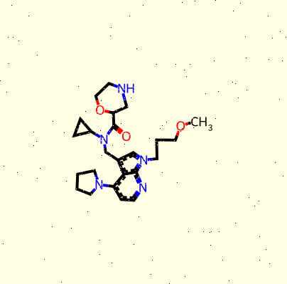 COCCCn1cc(CN(C(=O)C2CNCCO2)C2CC2)c2c(N3CCCC3)ccnc21